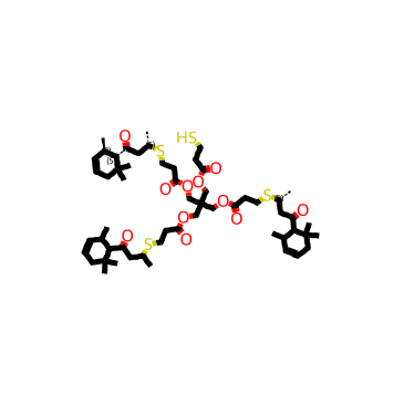 CC(CC(=O)C1C(C)C=CCC1(C)C)SCCC(=O)OCC(COC(=O)CCS)(COC(=O)CCS[C@H](C)CC(=O)C1C(C)C=CCC1(C)C)COC(=O)CCS[C@@H](C)CC(=O)[C@H]1[C@H](C)C=CCC1(C)C